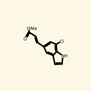 COC(=O)C=Cc1cc(Cl)c2[nH]ccc2c1